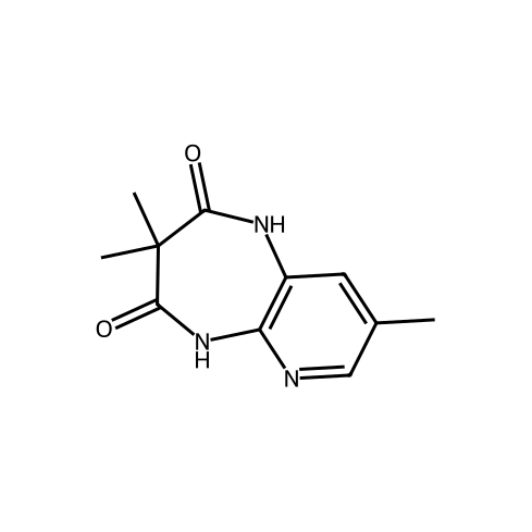 Cc1cnc2c(c1)NC(=O)C(C)(C)C(=O)N2